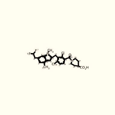 Cc1cc(CC(F)F)cc2c1cc(Cc1c(Cl)ccc(C(=O)N3CCC(C(=O)O)CC3)c1Cl)n2C